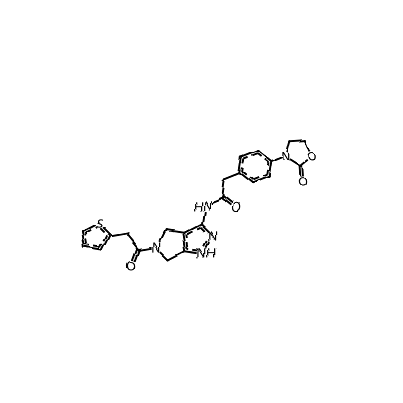 O=C(Cc1ccc(N2CCOC2=O)cc1)Nc1n[nH]c2c1CN(C(=O)Cc1cccs1)C2